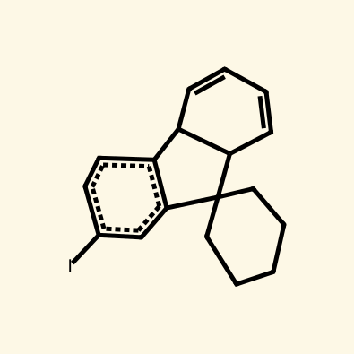 Ic1ccc2c(c1)C1(CCCCC1)C1C=CC=CC21